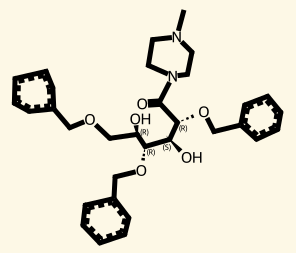 CN1CCN(C(=O)[C@H](OCc2ccccc2)[C@@H](O)[C@H](OCc2ccccc2)[C@H](O)COCc2ccccc2)CC1